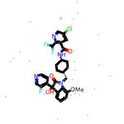 COc1cccc2c1N(C[C@H]1CC[C@H](NC(=O)c3cc(Cl)cnc3C(F)F)CC1)C(=O)C2(O)c1ccncc1F